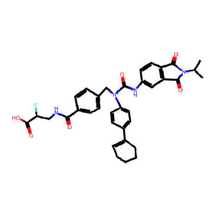 CC(C)N1C(=O)c2ccc(NC(=O)N(Cc3ccc(C(=O)NCC(F)C(=O)O)cc3)c3ccc(C4=CCCCC4)cc3)cc2C1=O